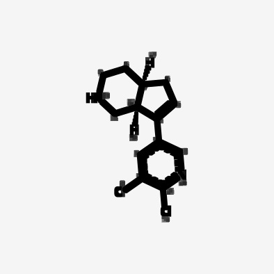 Clc1cc(C2=CC[C@@H]3CCNC[C@H]23)cnc1Cl